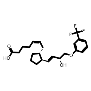 O=C(O)CCC/C=C\C[C@H]1CCC[C@@H]1/C=C/[C@@H](O)COc1cccc(C(F)(F)F)c1